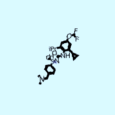 CC(C)c1cc(OC(F)F)cc(C2CC2)c1NC(=O)/N=[SH](=O)/c1ccc(CN(C)C)cc1